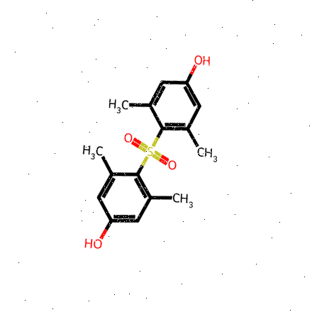 Cc1cc(O)cc(C)c1S(=O)(=O)c1c(C)cc(O)cc1C